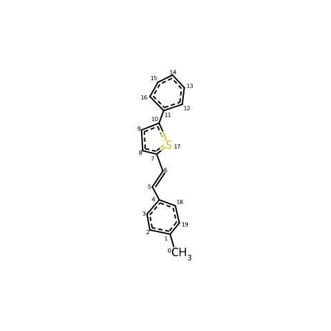 Cc1ccc(C=Cc2ccc(-c3ccccc3)s2)cc1